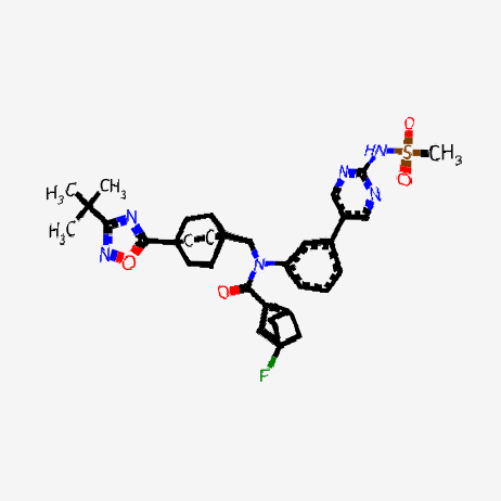 CC(C)(C)c1noc(C23CCC(CN(C(=O)C4=C5CC(F)(C5)C4)c4cccc(-c5cnc(NS(C)(=O)=O)nc5)c4)(CC2)CC3)n1